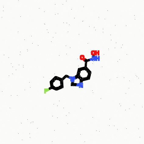 O=C(NO)c1ccc2ncn(Cc3ccc(F)cc3)c2c1